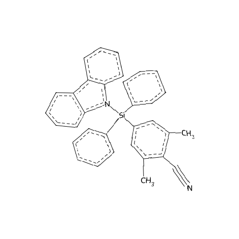 Cc1cc([Si](c2ccccc2)(c2ccccc2)n2c3ccccc3c3ccccc32)cc(C)c1C#N